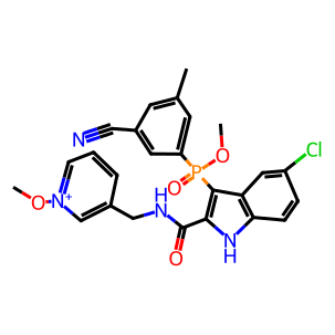 CO[n+]1cccc(CNC(=O)c2[nH]c3ccc(Cl)cc3c2P(=O)(OC)c2cc(C)cc(C#N)c2)c1